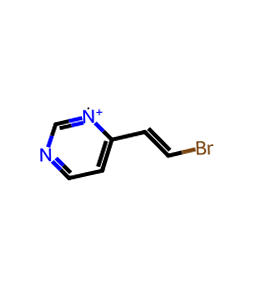 BrC=CC1=CC=NC=[N+]1